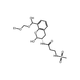 CCOCOC(O)c1cccc2c1OB(O)[C@@H](NC(=O)CCNS(C)(=O)=O)C2